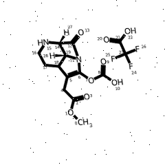 COC(=O)CC1=C(OC(=O)O)N2C(=O)[C@H]3NCCC1[C@H]32.O=C(O)C(F)(F)F